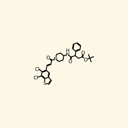 CC(C)(C)OC(=O)CC(C(=O)NC1CCN(C(=O)C=Cc2cc3ccsc3c(Cl)c2Cl)CC1)c1ccccc1